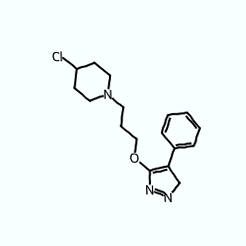 ClC1CCN(CCCOC2=C(c3ccccc3)CN=N2)CC1